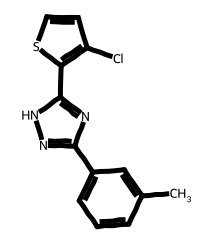 Cc1cccc(-c2n[nH]c(-c3sccc3Cl)n2)c1